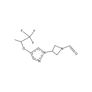 CC(Oc1cnn(C2CN(C=O)C2)c1)C(F)(F)F